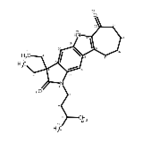 CCC1(CC)C(=O)N(CCC(C)C)c2cc3c4c([nH]c3cc21)C(=O)CCCC4